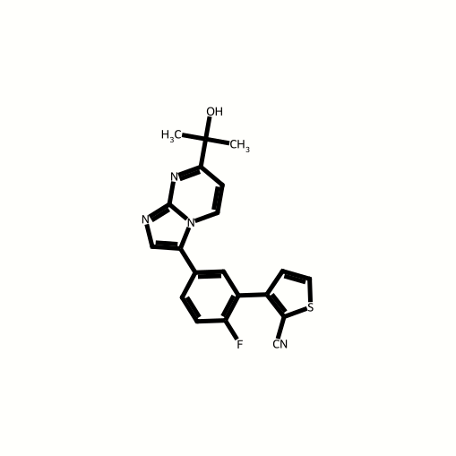 CC(C)(O)c1ccn2c(-c3ccc(F)c(-c4ccsc4C#N)c3)cnc2n1